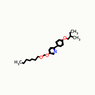 CCCCCCCOCOc1ccc(-c2ccc(OCC(C)CC)cc2)nc1